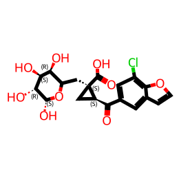 O=C(c1cc(Cl)c2occc2c1)[C@H]1C[C@@]1(CC1O[C@H](O)[C@H](O)[C@@H](O)[C@H]1O)C(=O)O